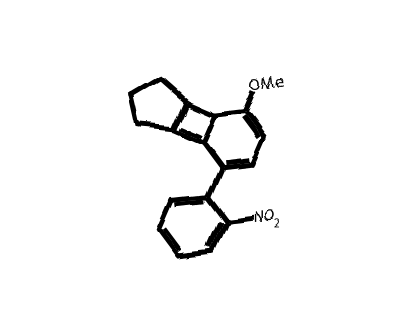 COC1=CC=C(c2ccccc2[N+](=O)[O-])C2=C3CCCC3C12